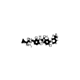 Cn1c(Nc2c(Cl)ccc(CNC(=O)[C@@H](N)C3CC3)c2Cl)nc2cc(Cl)c(N3CCCC(C(F)(F)F)C3)cc21